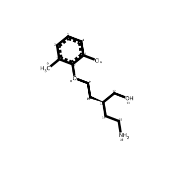 Cc1cccc(Cl)c1OCC[C@@H](CO)CCN